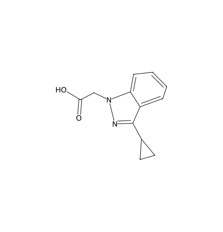 O=C(O)Cn1nc(C2CC2)c2ccccc21